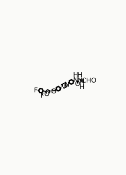 O=CNNC(=O)Nc1ccc(N2CCN(c3ccc(OC[C@@H]4COC(c5ccc(F)cc5F)C4)cc3)CC2)cc1